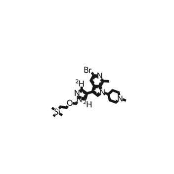 [2H]c1nn(COCC[Si](C)(C)C)c([2H])c1-c1cn(C2CCN(C)CC2)c2c(C)nc(Br)cc12